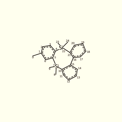 Cc1ccc2c(c1)[Si](C)(C)c1ccccc1-c1ccccc1[Si]2(C)C